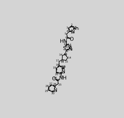 Cn1ccc(CC(=O)Nc2nnc([C@H]3CC[C@@H](Cc4ccc(NC(=O)Cc5ccccn5)nn4)C3)s2)n1